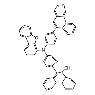 CC1C(c2ccc(N(c3ccc(-c4cc5ccccc5c5ccccc45)cc3)c3cccc4c3oc3ccccc34)cc2)=c2ccccc2=C2C=CC=CC21